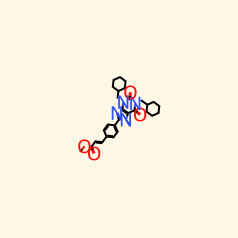 COC(=O)C=Cc1ccc(-c2nc3c(c(=O)n(CC4CCCCC4)c(=O)n3CC3CCCCC3)n2C)cc1